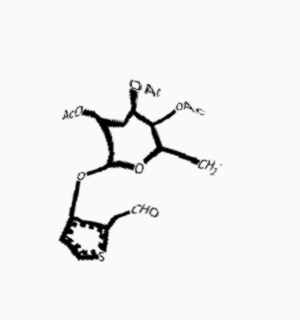 [CH2]C1OC(Oc2ccsc2C=O)C(OC(C)=O)C(OC(C)=O)C1OC(C)=O